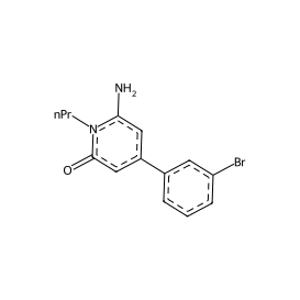 CCCn1c(N)cc(-c2cccc(Br)c2)cc1=O